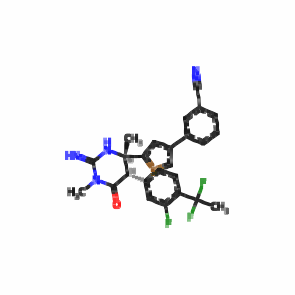 CN1C(=N)N[C@](C)(c2cc(-c3cccc(C#N)c3)cs2)[C@H](c2ccc(C(C)(F)F)c(F)c2)C1=O